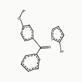 CC(C)Oc1ccc(C(=O)c2ccccc2)cc1.CC(C)c1cccs1